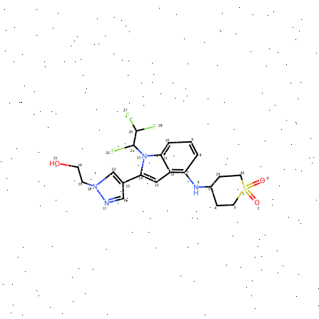 O=S1(=O)CCC(Nc2cccc3c2cc(-c2cnn(CCO)c2)n3C(F)C(F)F)CC1